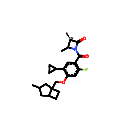 CC1CC2CCC2(COc2cc(F)c(C(=O)N3C(=O)[C@@H](C)C3C)cc2C2CC2)C1